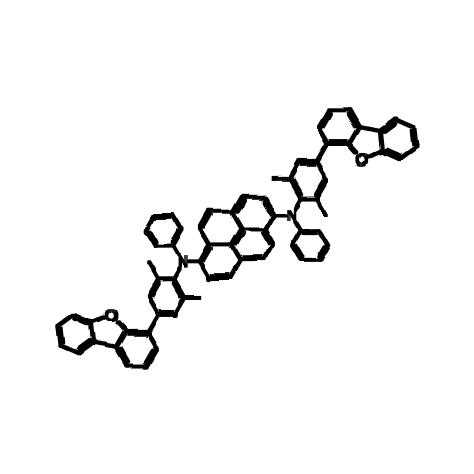 Cc1cc(-c2cccc3c2oc2ccccc23)cc(C)c1N(c1ccccc1)c1ccc2ccc3c(N(c4ccccc4)c4c(C)cc(-c5cccc6c5oc5ccccc56)cc4C)ccc4ccc1c2c43